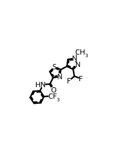 Cn1cc(-c2nc(C(=O)Nc3ccccc3C(F)(F)F)cs2)c(C(F)F)n1